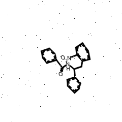 O=C(NC(Cc1ccccc1[N+](=O)[O-])c1ccccc1)c1ccccc1